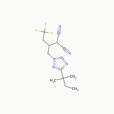 CCC(C)(C)c1ncn(CC(CC(F)(F)F)C(C#N)C#N)n1